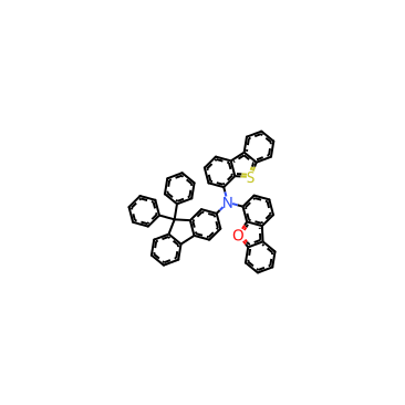 c1ccc(C2(c3ccccc3)c3ccccc3-c3ccc(N(c4cccc5c4oc4ccccc45)c4cccc5c4sc4ccccc45)cc32)cc1